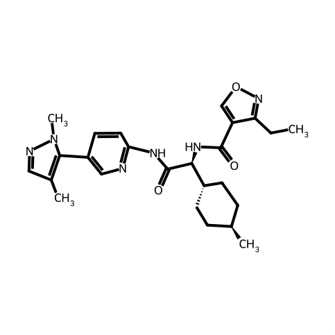 CCc1nocc1C(=O)N[C@H](C(=O)Nc1ccc(-c2c(C)cnn2C)cn1)[C@H]1CC[C@H](C)CC1